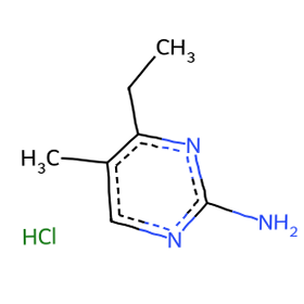 CCc1nc(N)ncc1C.Cl